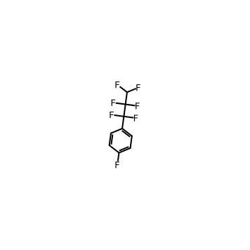 Fc1ccc(C(F)(F)C(F)(F)C(F)F)cc1